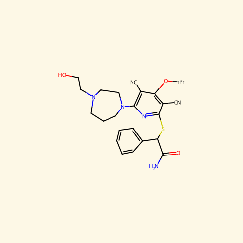 CCCOc1c(C#N)c(SC(C(N)=O)c2ccccc2)nc(N2CCCN(CCO)CC2)c1C#N